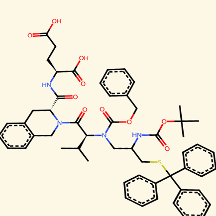 CC(C)[C@@H](C(=O)N1Cc2ccccc2C[C@@H]1C(=O)N[C@@H](CCC(=O)O)C(=O)O)N(CC(CSC(c1ccccc1)(c1ccccc1)c1ccccc1)NC(=O)OC(C)(C)C)C(=O)OCc1ccccc1